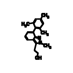 Cc1cc(C)c(-c2cccc3c(CCO)n(C)nc23)c(C)c1